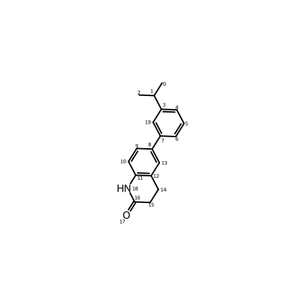 CC(C)c1cccc(-c2ccc3c(c2)CCC(=O)N3)c1